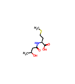 CSCC[C@H](NC(=O)CC(C)O)C(=O)O